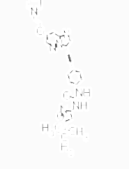 CC(C)(C)c1cc(NC(=O)Nc2ccc(C#Cc3cnc4cc(OCCN5CCOCC5)cnn34)cc2)no1